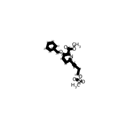 COC(=O)c1nc(C#CCCOS(C)(=O)=O)ccc1OCc1ccccc1